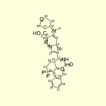 CN(c1cc2nc(C(NC(=O)OCc3ccccc3)C3CCC(F)(F)CC3)cn2nc1C(=O)O)C1CCOCC1